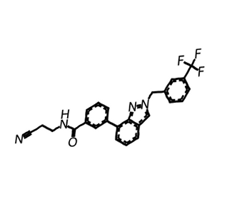 N#CCCNC(=O)c1cccc(-c2cccc3cn(Cc4cccc(C(F)(F)F)c4)nc23)c1